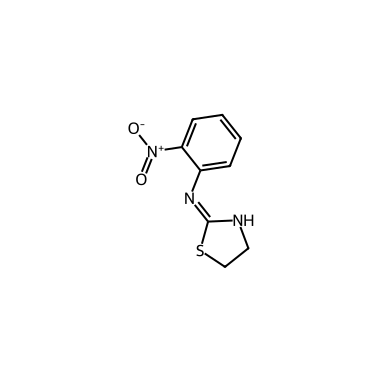 O=[N+]([O-])c1ccccc1N=C1NCCS1